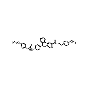 COc1ccc(CC(=O)Nc2ccc(C3Cc4cnc(NCCCN5CCN(C)CC5)nc4-c4ccccc43)cc2)cc1